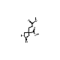 COC(=O)CCC1(C(=O)OC)CNC(=O)C1